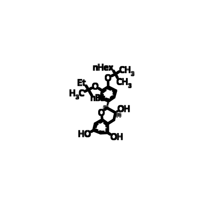 CCCCCCC(C)(C)Oc1ccc([C@H]2Oc3cc(O)cc(O)c3C[C@H]2O)cc1OC(C)(CC)CCCC